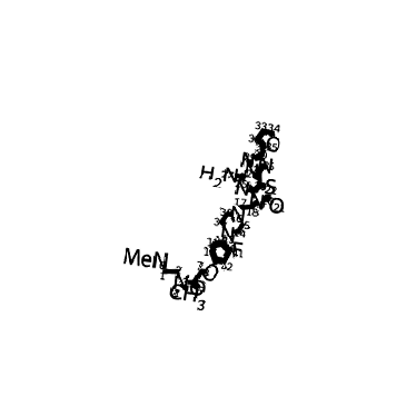 CNCCN(C)C(=O)COc1ccc(N2CCN(CCn3c(=O)sc4c3nc(N)n3nc(-c5ccco5)nc43)CC2)c(F)c1